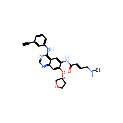 C#Cc1cccc(Nc2ncnc3cc(O[C@H]4CCOC4)c(NC(=O)C=CCNCC)cc23)c1